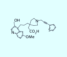 COc1ccc2ncc(CO)c(CCCC3(CC(=O)O)CCN(CC#Cc4cccs4)CC3)c2c1